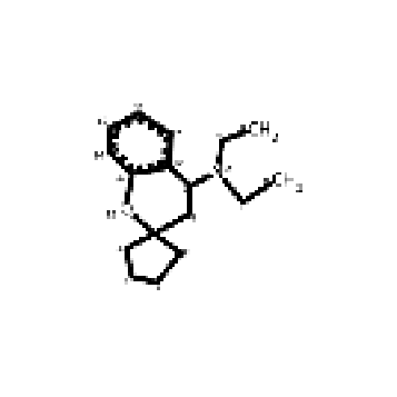 CCN(CC)C1CC2(CCCC2)Oc2ccccc21